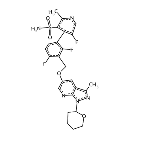 Cc1ncc(F)c(-c2ccc(F)c(COc3cnc4c(c3)c(C)nn4C3CCCCO3)c2F)c1S(N)(=O)=O